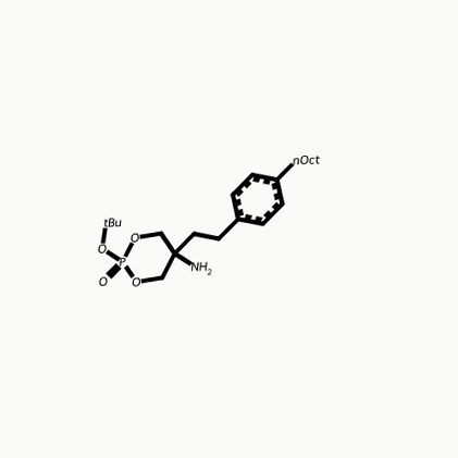 CCCCCCCCc1ccc(CCC2(N)COP(=O)(OC(C)(C)C)OC2)cc1